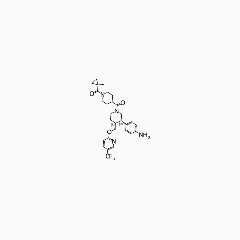 CC1(C(=O)N2CCC(C(=O)N3CC[C@H](COc4ccc(C(F)(F)F)cn4)[C@H](c4ccc(N)cc4)C3)CC2)CC1